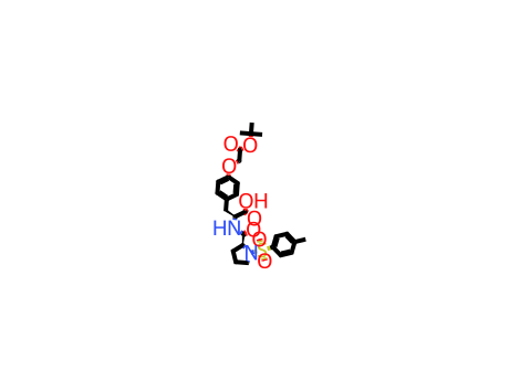 Cc1ccc(S(=O)(=O)N2CCC[C@H]2C(=O)N[C@@H](Cc2ccc(OCC(=O)OC(C)(C)C)cc2)C(=O)O)cc1